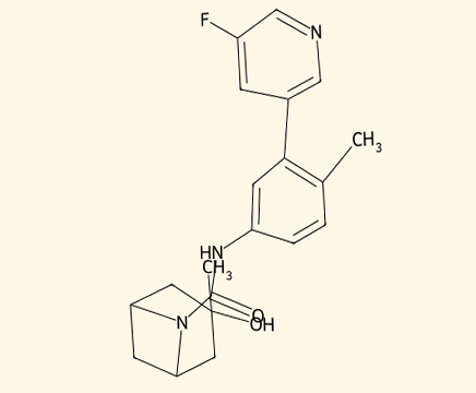 Cc1ccc(NC(=O)N2C3CC2CC(C)(O)C3)cc1-c1cncc(F)c1